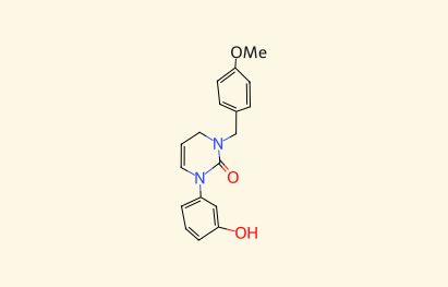 COc1ccc(CN2CC=CN(c3cccc(O)c3)C2=O)cc1